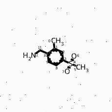 Cc1cc(S(C)(=O)=O)ccc1CN